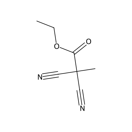 CCOC(=O)C(C)(C#N)C#N